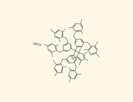 CC1=C(C)C(C)([Si](c2cc(Cc3c(C)cc(C)cc3C)cc(Cc3c(C)cc(C)cc3C)c2)(c2cc(Cc3c(C)cc(C)cc3C)cc(Cc3c(C)cc(C)cc3C)c2)c2cc(Cc3c(C)cc(C)cc3C)cc(Cc3c(C)cc(C)cc3C)c2)[C]([Ti+3])=C1C.[Cl-].[Cl-].[Cl-]